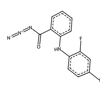 [N-]=[N+]=NC(=O)c1ccccc1Nc1ccc(I)cc1F